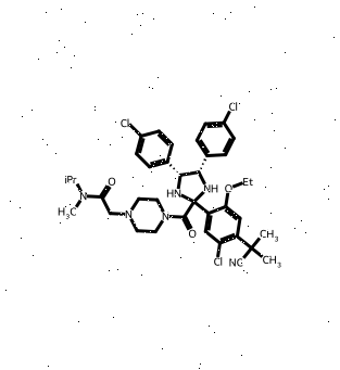 CCOc1cc(C(C)(C)C#N)c(Cl)cc1C1(C(=O)N2CCN(CC(=O)N(C)C(C)C)CC2)N[C@H](c2ccc(Cl)cc2)[C@H](c2ccc(Cl)cc2)N1